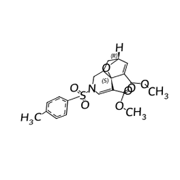 COC(=O)C1=C[C@H]2CC3CN(S(=O)(=O)c4ccc(C)cc4)C=C(C(=O)OC)[C@@]13O2